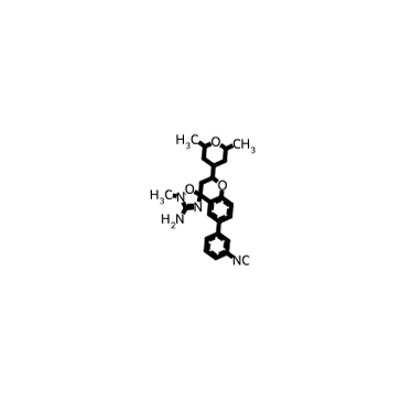 [C-]#[N+]c1cccc(-c2ccc3c(c2)C2(CC(C4CC(C)OC(C)C4)O3)N=C(N)N(C)O2)c1